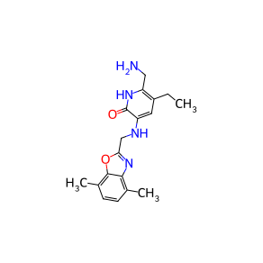 CCc1cc(NCc2nc3c(C)ccc(C)c3o2)c(=O)[nH]c1CN